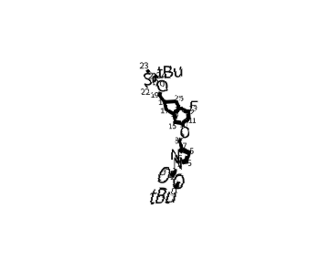 CC(C)(C)OC(=O)n1ccc(COc2cc(F)c3c(c2)CC(CO[Si](C)(C)C(C)(C)C)C3)n1